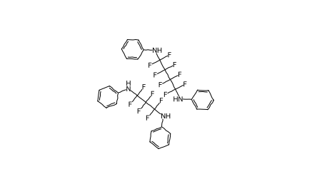 FC(F)(Nc1ccccc1)C(F)(F)C(F)(F)C(F)(F)Nc1ccccc1.FC(F)(Nc1ccccc1)C(F)(F)C(F)(F)Nc1ccccc1